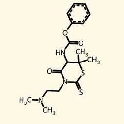 CN(C)CCN1C(=O)C(NC(=O)Oc2ccccc2)C(C)(C)SC1=S